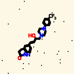 O=C1CCc2cc(C=C[C@@H](O)CN3CCN(c4ccc(C(F)(F)F)cc4)CC3)ccc2N1